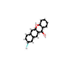 O=c1c2ccccc2oc2cc3ccc(F)cc3cc12